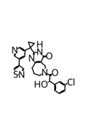 O=C([C@H](O)c1cccc(Cl)c1)N1CCCc2nc(C3(c4cncc(-c5cnsc5)c4)CC3)[nH]c(=O)c2C1